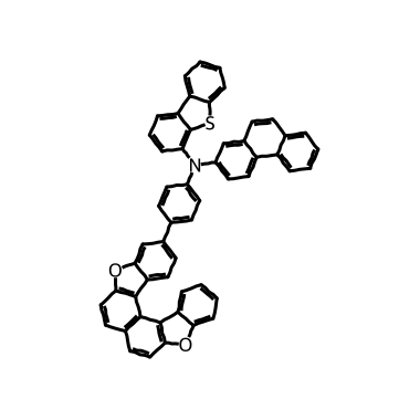 c1ccc2c(c1)ccc1cc(N(c3ccc(-c4ccc5c(c4)oc4ccc6ccc7oc8ccccc8c7c6c45)cc3)c3cccc4c3sc3ccccc34)ccc12